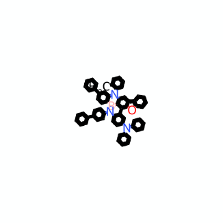 Cc1ccccc1N1c2cc(-c3ccccc3)ccc2B2c3c1cc1c(oc4ccccc41)c3-c1cc(N(c3ccccc3)c3ccccc3)ccc1N2c1ccc(-c2ccccc2)cc1